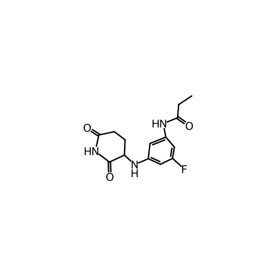 CCC(=O)Nc1cc(F)cc(NC2CCC(=O)NC2=O)c1